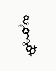 CC1(C)CCC(C)(C)c2cc(C(=O)OCCc3ccc(NC(=O)CC4CCCC4)cc3)ccc21